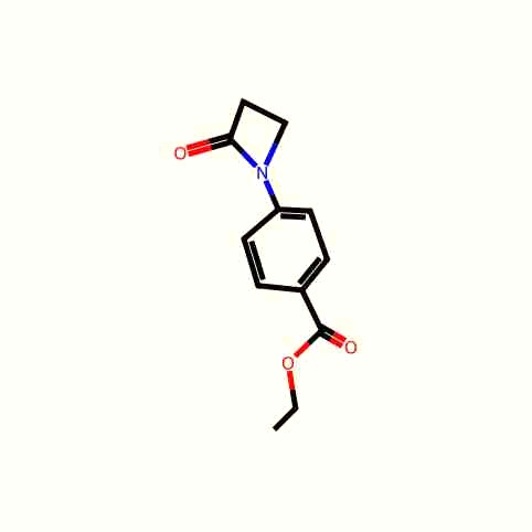 CCOC(=O)c1ccc(N2CCC2=O)cc1